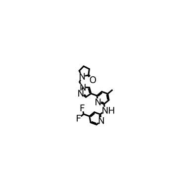 Cc1cc(Nc2cc(C(F)F)ccn2)nc(-c2cnn(CN3CCCC3=O)c2)c1